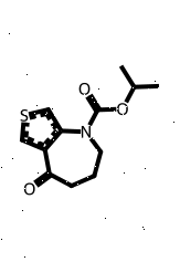 CC(C)OC(=O)N1CCCC(=O)c2cscc21